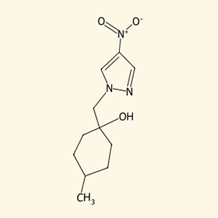 CC1CCC(O)(Cn2cc([N+](=O)[O-])cn2)CC1